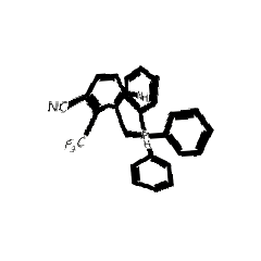 N#Cc1ccc(N)c(C[PH](c2ccccc2)(c2ccccc2)c2ccccc2)c1C(F)(F)F